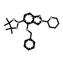 CC1(C)OB(c2ccc3nn(C4CCCCO4)cc3c2OCc2ccccc2)OC1(C)C